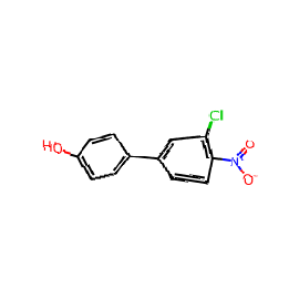 O=[N+]([O-])c1ccc(-c2ccc(O)cc2)cc1Cl